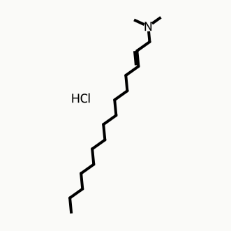 CCCCCCCCCCCCC=CCN(C)C.Cl